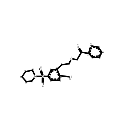 O=C(COCCc1cc(S(=O)(=O)N2CCCCC2)ccc1Cl)c1ccccn1